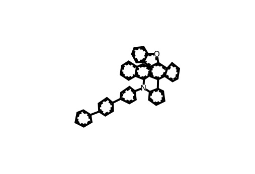 c1ccc(-c2ccc(-c3ccc(N(c4ccccc4-c4cc5c6ccccc6oc5c5ccccc45)c4cccc5ccccc45)cc3)cc2)cc1